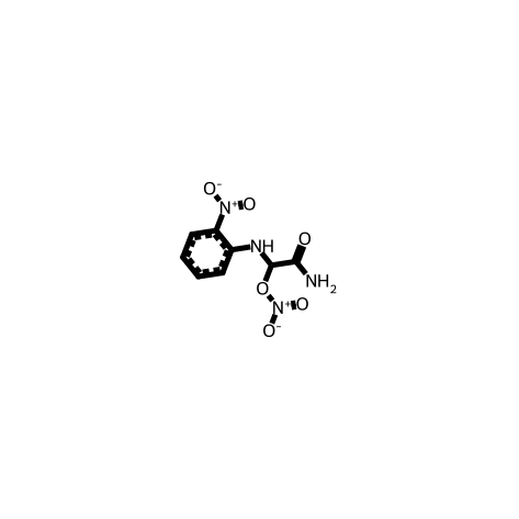 NC(=O)C(Nc1ccccc1[N+](=O)[O-])O[N+](=O)[O-]